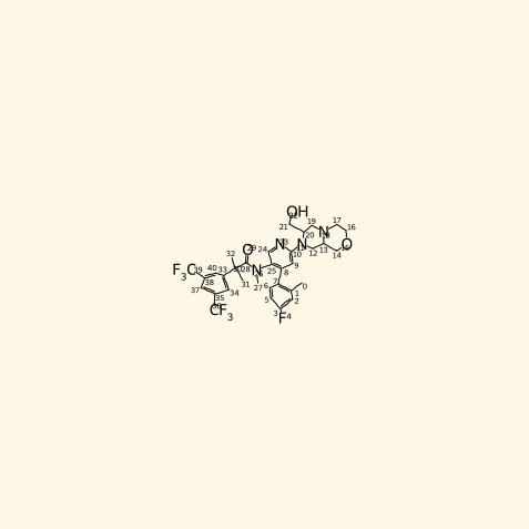 Cc1cc(F)ccc1-c1cc(N2CC3COCCN3CC2CO)ncc1N(C)C(=O)C(C)(C)c1cc(C(F)(F)F)cc(C(F)(F)F)c1